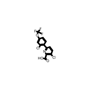 O=C(O)c1nc(-c2ccc(OC(F)(F)F)cc2Cl)ccc1Cl